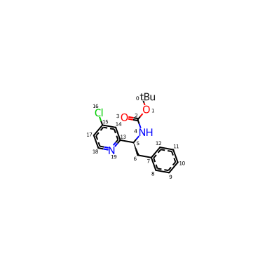 CC(C)(C)OC(=O)N[C@@H](Cc1ccccc1)c1cc(Cl)ccn1